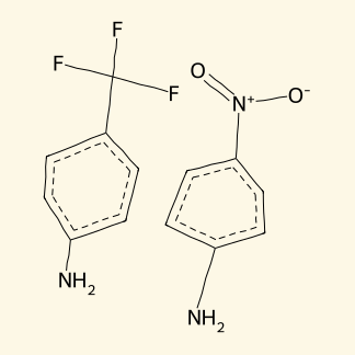 Nc1ccc(C(F)(F)F)cc1.Nc1ccc([N+](=O)[O-])cc1